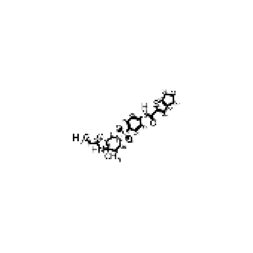 C=CC(=O)NC1(C)CCN(S(=O)(=O)c2ccc(NC(=O)c3cc4c(s3)CCC4)cc2)CC1